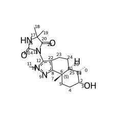 C[C@@H]1C(O)CC[C@]2(C)c3nn(C)c(N4C(=O)NC(C)(C)C4=O)c3CC[C@@H]12